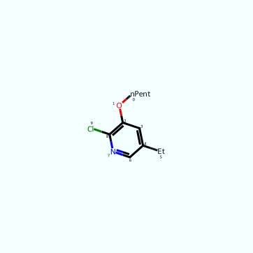 CCCCCOc1cc(CC)cnc1Cl